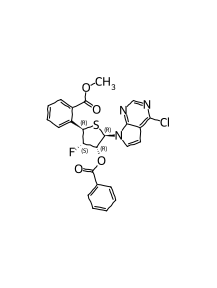 COC(=O)c1ccccc1[C@H]1S[C@@H](n2ccc3c(Cl)ncnc32)[C@H](OC(=O)c2ccccc2)[C@@H]1F